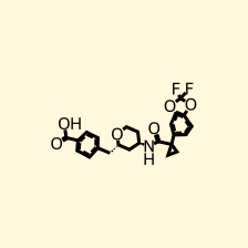 O=C(O)c1ccc(C[C@H]2C[C@H](NC(=O)C3(c4ccc5c(c4)OC(F)(F)O5)CC3)CCO2)cc1